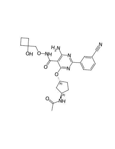 CC(=O)N[C@@H]1CC[C@@H](Oc2nc(-c3cccc(C#N)c3)nc(N)c2C(=O)NOCC2(O)CCC2)C1